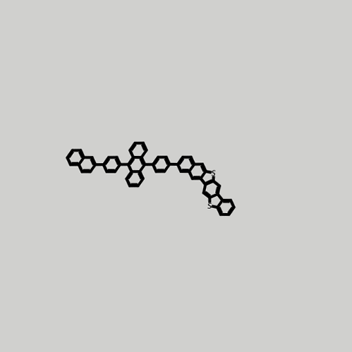 c1ccc2cc(-c3ccc(-c4c5ccccc5c(-c5ccc(-c6ccc7cc8sc9cc%10c(cc9c8cc7c6)sc6ccccc6%10)cc5)c5ccccc45)cc3)ccc2c1